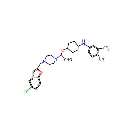 N#Cc1ccc(NC2CCC(OC(C=O)N3CCN(Cc4cc5cc(Cl)ccc5o4)CC3)CC2)cc1C(F)(F)F